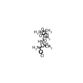 CN(C)C/C(SCNC(=O)CNc1c(N)n(C)c(=O)n(C)c1=O)=C(/N)C1C=CC(Cl)=CC1